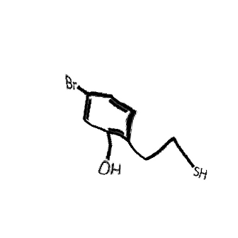 Oc1cc(Br)ccc1CCS